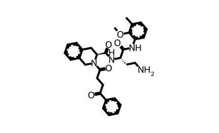 COc1c(C)cccc1NC(=O)[C@H](CCN)NC(=O)[C@@H]1Cc2ccccc2CN1C(=O)CCC(=O)c1ccccc1